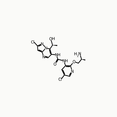 C[C@H](N)COc1ncc(Cl)cc1NC(=O)Nc1cnc2cc(Cl)nn2c1[C@H](C)O